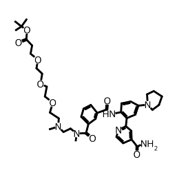 CN(CCOCCOCCOCCC(=O)OC(C)(C)C)CCN(C)C(=O)c1cccc(C(=O)Nc2ccc(N3CCCCC3)cc2-c2cc(C(N)=O)ccn2)c1